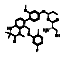 CCC(OC(=O)[C@@H](N)CO)Oc1ccc(-c2ccc3c(c2COc2cc(F)ccc2C)N(C)C(=O)C(C)(C)N3)c(OC)c1